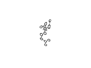 c1ccc(-c2cc(-c3ccccc3)cc(-c3cccc(-c4cccc(-c5cccc(-c6nc(-c7cccc(-c8ccccc8)c7)c7c8ccccc8n(-c8ccccc8)c7n6)c5)c4)c3)c2)cc1